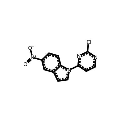 O=[N+]([O-])c1ccc2c(ccn2-c2ccnc(Cl)n2)c1